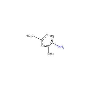 CNc1cc(C(=O)O)ccc1N